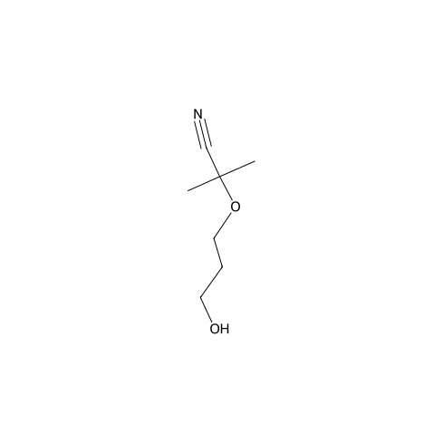 CC(C)(C#N)OCCCO